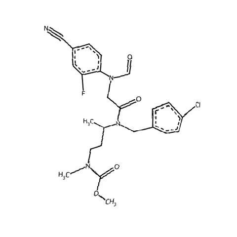 COC(=O)N(C)CCC(C)N(Cc1ccc(Cl)cc1)C(=O)CN(C=O)c1ccc(C#N)cc1F